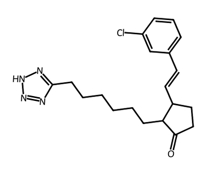 O=C1CCC(C=Cc2cccc(Cl)c2)C1CCCCCCc1nn[nH]n1